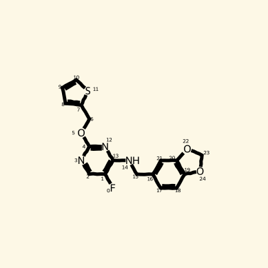 Fc1cnc(OCc2cccs2)nc1NCc1ccc2c(c1)OCO2